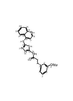 COc1cccc(CCC(=O)Nc2nnc(Sc3ccnc4ccccc34)s2)c1